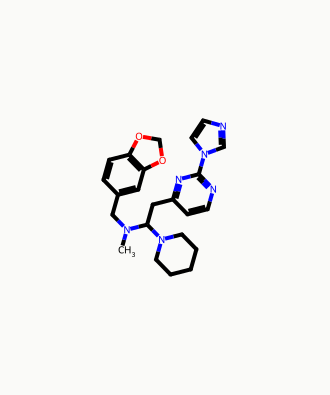 CN(Cc1ccc2c(c1)OCO2)C(Cc1ccnc(-n2ccnc2)n1)N1CCCCC1